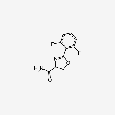 NC(=O)C1COC(c2c(F)cccc2F)=N1